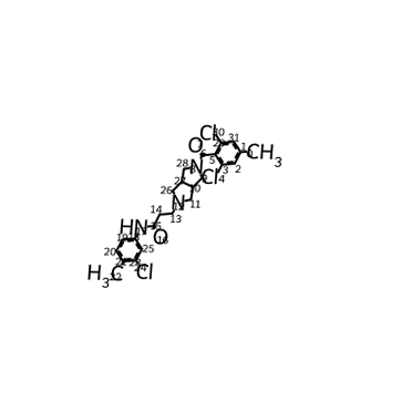 Cc1cc(Cl)c(C(=O)N2CC3CN(CCC(=O)Nc4ccc(C)c(Cl)c4)CC3C2)c(Cl)c1